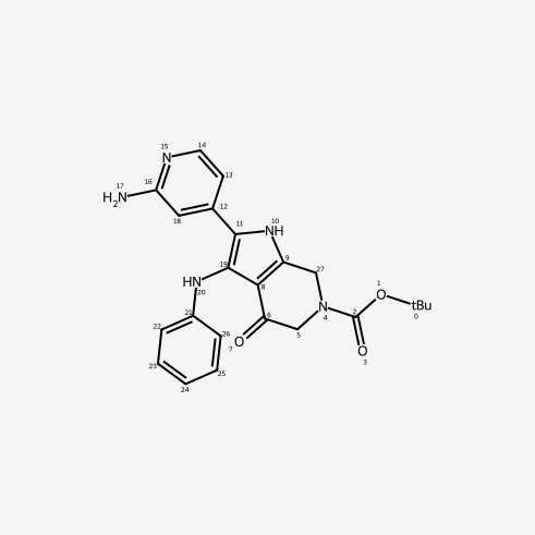 CC(C)(C)OC(=O)N1CC(=O)c2c([nH]c(-c3ccnc(N)c3)c2Nc2ccccc2)C1